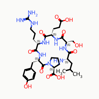 CC(C)C[C@H](N)C(=O)N[C@@H](CO)C(=O)N[C@@H](CCC(=O)O)C(=O)N[C@@H](CCCNC(=N)N)C(=O)N[C@@H](Cc1ccc(O)cc1)C(=O)N1CCC[C@H]1C(=O)O